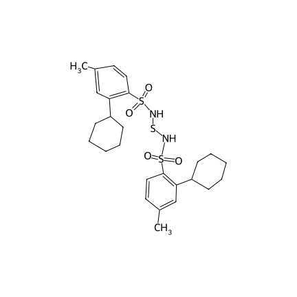 Cc1ccc(S(=O)(=O)NSNS(=O)(=O)c2ccc(C)cc2C2CCCCC2)c(C2CCCCC2)c1